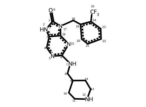 O=c1[nH]c2cnc(NCC3CCNCC3)nc2n1Cc1ccccc1C(F)(F)F